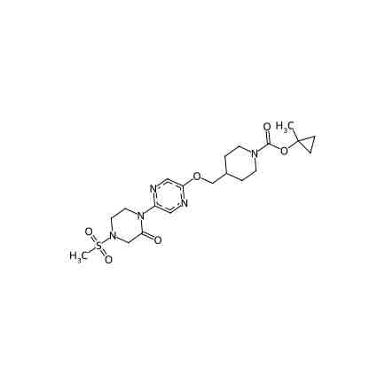 CC1(OC(=O)N2CCC(COc3cnc(N4CCN(S(C)(=O)=O)CC4=O)cn3)CC2)CC1